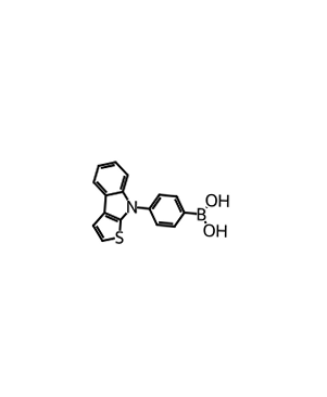 OB(O)c1ccc(-n2c3ccccc3c3ccsc32)cc1